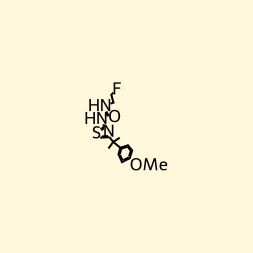 COc1ccc(C(C)(C)c2csc(NC(=O)NCCF)n2)cc1